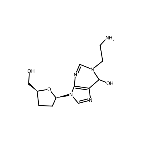 NCCN1C=Nc2c(ncn2[C@H]2CC[C@@H](CO)O2)C1O